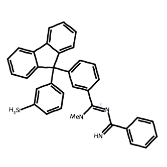 CN/C(=N\C(=N)c1ccccc1)c1cccc(C2(c3cccc([SiH3])c3)c3ccccc3-c3ccccc32)c1